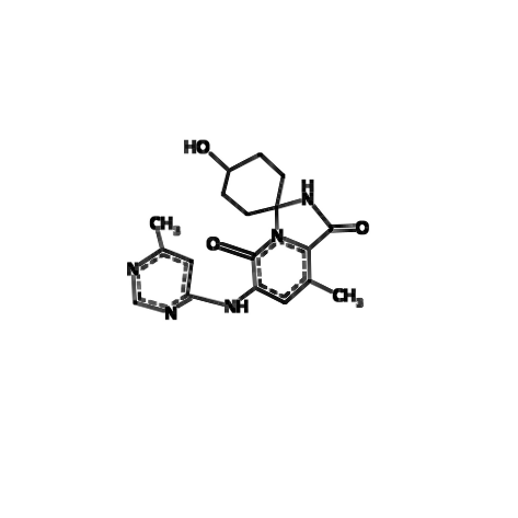 Cc1cc(Nc2cc(C)c3n(c2=O)C2(CCC(O)CC2)NC3=O)ncn1